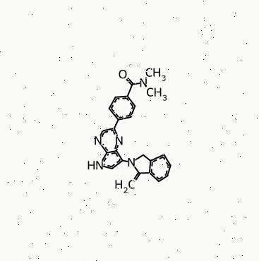 C=C1c2ccccc2CN1c1c[nH]c2ncc(-c3ccc(C(=O)N(C)C)cc3)nc12